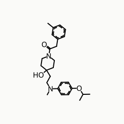 Cc1cccc(CC(=O)N2CCC(O)(CCN(C)c3ccc(OC(C)C)cc3)CC2)c1